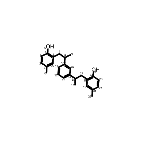 Cc1ccc(O)c(CC(C)c2cccc(C(C)Cc3cc(C)ccc3O)c2)c1